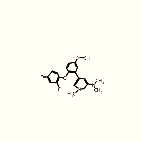 CN1C=C(c2cc(NS)ccc2Oc2ccc(F)cc2F)C=C(N(C)C)C1